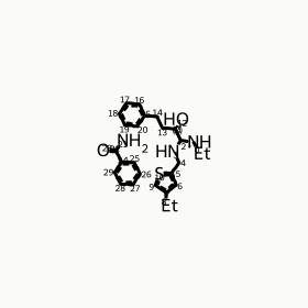 CCNC(NCc1cc(CC)cs1)[C@H](O)CCc1ccccc1.NC(=O)c1ccccc1